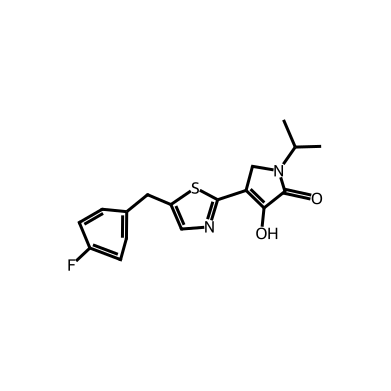 CC(C)N1CC(c2ncc(Cc3ccc(F)cc3)s2)=C(O)C1=O